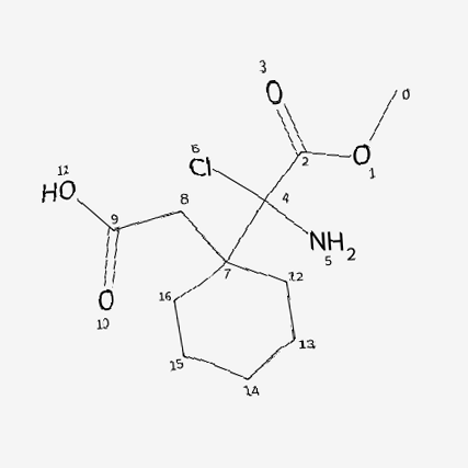 COC(=O)C(N)(Cl)C1(CC(=O)O)CCCCC1